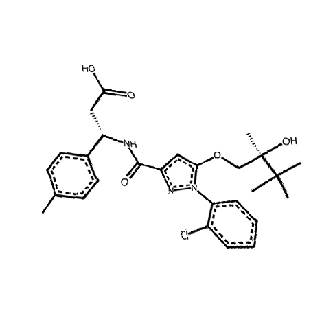 Cc1ccc([C@H](CC(=O)O)NC(=O)c2cc(OC[C@@](C)(O)C(C)(C)C)n(-c3ccccc3Cl)n2)cc1